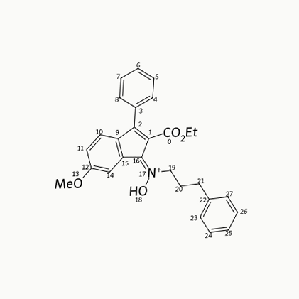 CCOC(=O)C1=C(c2ccccc2)c2ccc(OC)cc2/C1=[N+](\O)CCCc1ccccc1